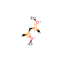 C=[PH](C[PH](=C)OCC)OCC